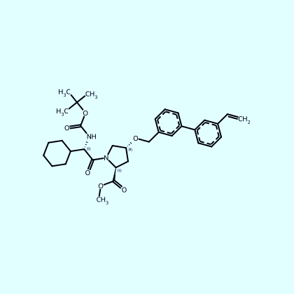 C=Cc1cccc(-c2cccc(CO[C@@H]3C[C@@H](C(=O)OC)N(C(=O)[C@@H](NC(=O)OC(C)(C)C)C4CCCCC4)C3)c2)c1